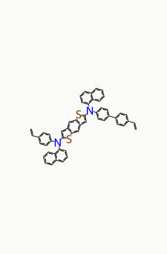 C=Cc1ccc(-c2ccc(N(c3cc4cc5sc(N(c6ccc(C=C)cc6)c6cccc7ccccc67)cc5cc4s3)c3cccc4ccccc34)cc2)cc1